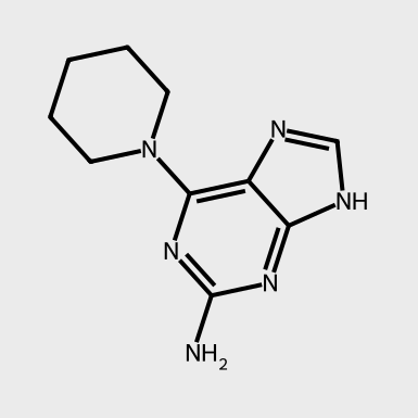 Nc1nc(N2CCCCC2)c2nc[nH]c2n1